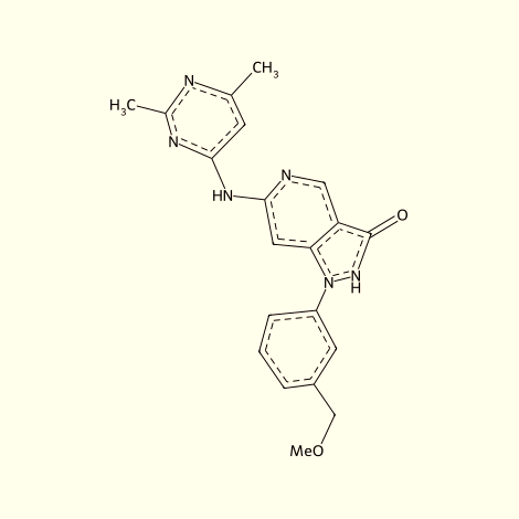 COCc1cccc(-n2[nH]c(=O)c3cnc(Nc4cc(C)nc(C)n4)cc32)c1